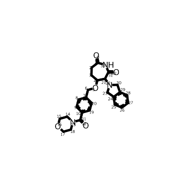 O=C1CCC(OCc2ccc(C(=O)N3CCOCC3)cc2)C(N2Cc3ccccc3C2)C(=O)N1